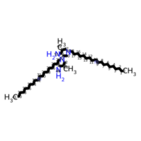 CCCCCCCCC/C=C/CCCCCCCCN(CCN(CCCCCCCC/C=C/CCCCCCCCC)CC(C)CN)CC(C)CN